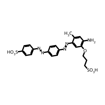 Cc1cc(N)c(OCCCS(=O)(=O)O)cc1N=Nc1ccc(N=Nc2ccc(S(=O)(=O)O)cc2)cc1